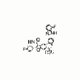 CNC(=O)c1c(-c2ccc(F)cc2)oc2cc(N(C)S(C)(=O)=O)c(-c3cc(-c4nc5cccc(F)c5[nH]4)ccn3)cc12